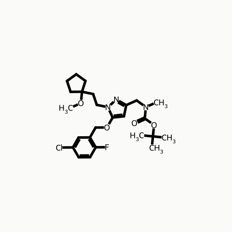 COC1(CCn2nc(CN(C)C(=O)OC(C)(C)C)cc2OCc2cc(Cl)ccc2F)CCCC1